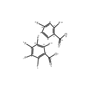 O=C(Cl)c1c(F)c(F)c(F)c(F)c1F.O=C(Cl)c1ccc(F)cc1F